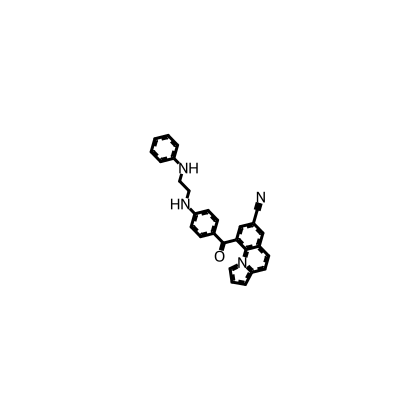 N#Cc1cc(C(=O)c2ccc(NCCNc3ccccc3)cc2)c2c(ccc3cccn32)c1